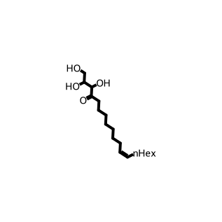 CCCCCC/C=C\CCCCCCCC(=O)C(O)C(O)CO